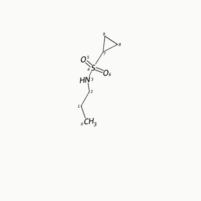 CCCNS(=O)(=O)C1CC1